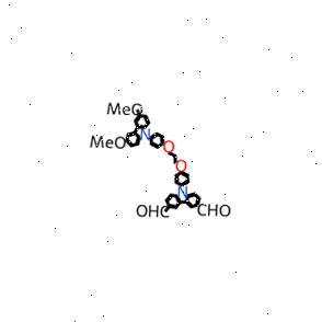 COc1ccc2c(c1)c1cc(OC)ccc1n2-c1ccc(OCCCOc2ccc(-n3c4ccc(C=O)cc4c4cc(C=O)ccc43)cc2)cc1